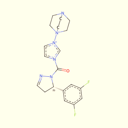 O=C(N1N=CC[C@H]1c1cc(F)cc(F)c1)n1cc[n+]([N+]23CCN(CC2)CC3)c1